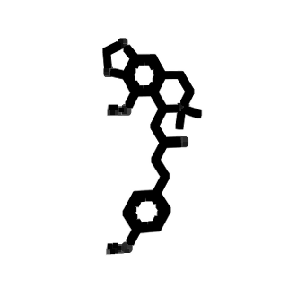 COc1ccc(CCC(=O)CC2c3c(cc4c(c3OC)OCO4)CC[N+]2(C)C)cc1